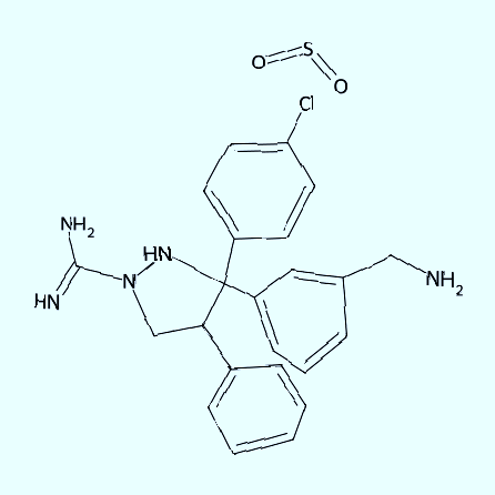 N=C(N)N1CC(c2ccccc2)C(c2ccc(Cl)cc2)(c2cccc(CN)c2)N1.O=S=O